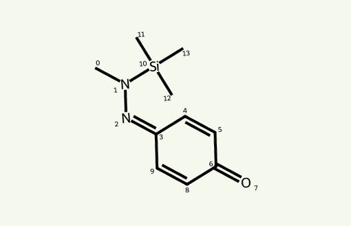 CN(N=C1C=CC(=O)C=C1)[Si](C)(C)C